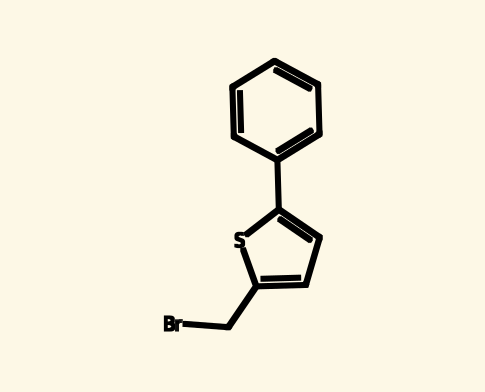 BrCc1ccc(-c2ccccc2)s1